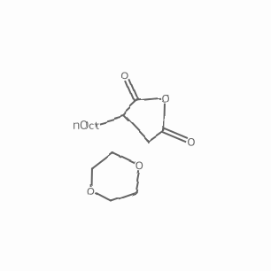 C1COCCO1.CCCCCCCCC1CC(=O)OC1=O